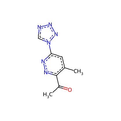 CC(=O)c1nnc(-n2cnnn2)cc1C